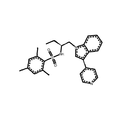 CC[C@@H](Cn1cc(-c2ccncc2)c2ccccc21)NS(=O)(=O)c1c(C)cc(C)cc1C